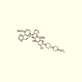 CCc1cc(Nc2nc(Nc3ccc4nccnc4c3N(C)SC)c3ccsc3n2)c(OC)nc1N1CCC(N2CCN(C)CC2)CC1